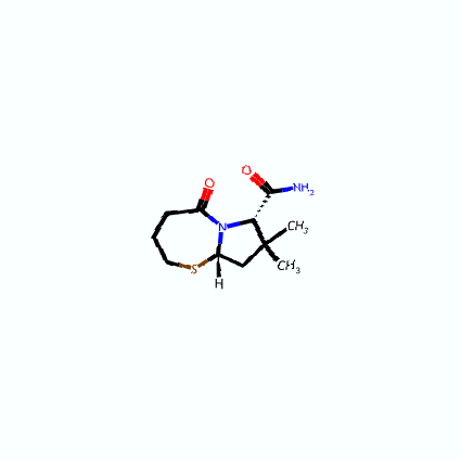 CC1(C)C[C@@H]2SCCCC(=O)N2[C@@H]1C(N)=O